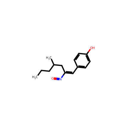 CCCC(C)C/C(=C\c1ccc(O)cc1)N=O